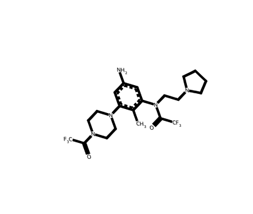 Cc1c(N2CCN(C(=O)C(F)(F)F)CC2)cc(N)cc1N(CCN1CCCC1)C(=O)C(F)(F)F